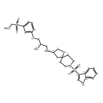 COCS(=O)(=O)c1cccc(OCC(O)CNC2COC3(CCN(S(=O)(=O)c4c[nH]c5ccccc45)CC3)C2)c1